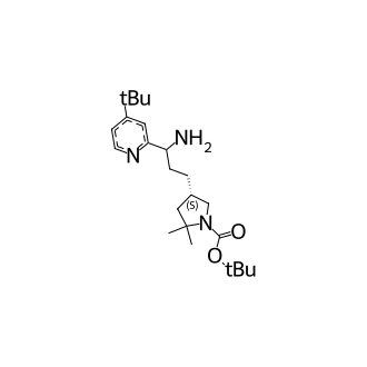 CC(C)(C)OC(=O)N1C[C@@H](CCC(N)c2cc(C(C)(C)C)ccn2)CC1(C)C